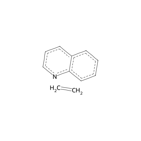 C=C.c1ccc2ncccc2c1